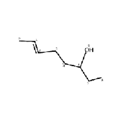 C/C=C/C[CH]C(O)CC